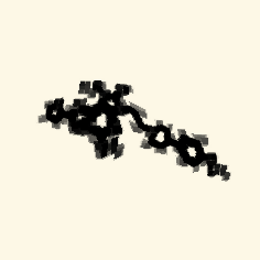 COc1ccc(C2=CCN(CCn3c(=O)n(C)c4c3nc(N)n3nc(-c5ccco5)nc43)CC2)cc1